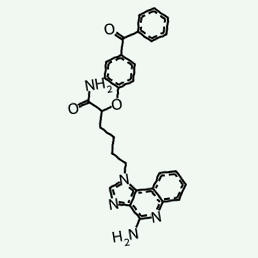 NC(=O)C(CCCCn1cnc2c(N)nc3ccccc3c21)Oc1ccc(C(=O)c2ccccc2)cc1